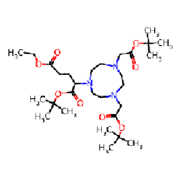 CCOC(=O)CCC(C(=O)OC(C)(C)C)N1CCN(CC(=O)OC(C)(C)C)CCN(CC(=O)OC(C)(C)C)CC1